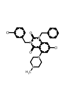 CN1CCN(c2cc(Cl)cc3c2c(=O)n(Cc2cccc(Cl)c2)c(=O)n3Cc2ccccc2)CC1